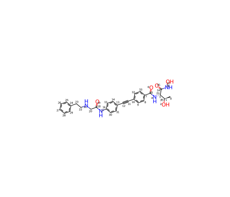 C[C@@H](O)[C@H](NC(=O)c1ccc(C#Cc2ccc(NC(=O)CNCCc3ccccc3)cc2)cc1)C(=O)NO